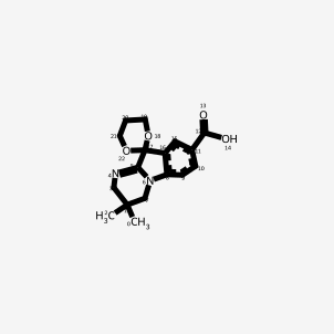 CC1(C)CN=C2N(C1)c1ccc(C(=O)O)cc1C21OCCCO1